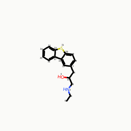 CCNCC(O)Cc1ccc2sc3ccccc3c2c1